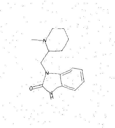 CN1CCCCC1Cn1c(=O)[nH]c2ccccc21